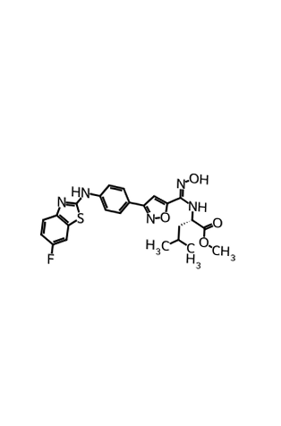 COC(=O)[C@H](CC(C)C)N/C(=N\O)c1cc(-c2ccc(Nc3nc4ccc(F)cc4s3)cc2)no1